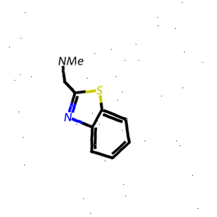 CNCc1nc2ccccc2s1